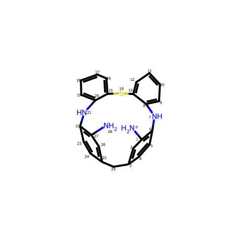 Nc1cc2ccc1Nc1ccccc1Sc1ccccc1Nc1ccc(cc1N)C2